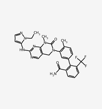 CCn1nccc1Nc1ncc2c(n1)N(C)C(=O)N(c1cc(-c3c(C(N)=O)cccc3C(F)(F)F)ccc1C)C2